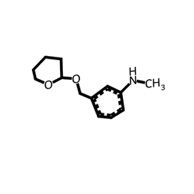 CNc1cccc(COC2CCCCO2)c1